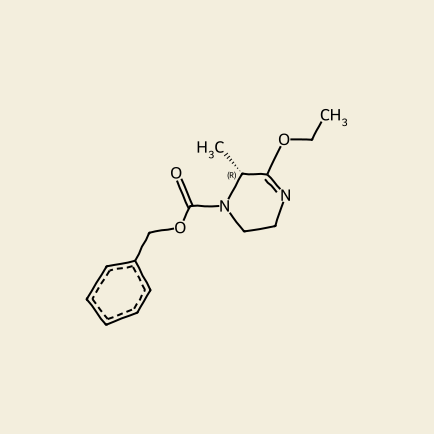 CCOC1=NCCN(C(=O)OCc2ccccc2)[C@@H]1C